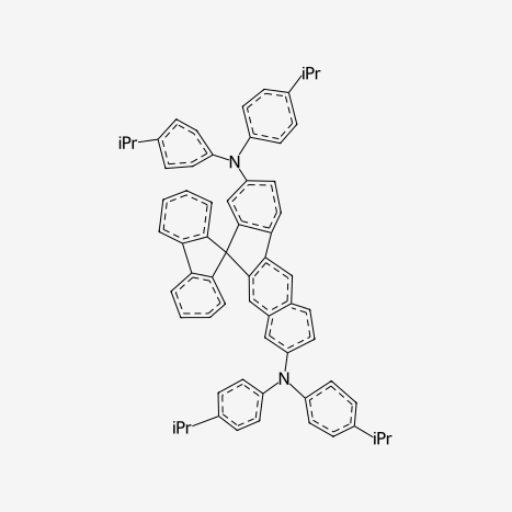 CC(C)c1ccc(N(c2ccc(C(C)C)cc2)c2ccc3c(c2)C2(c4ccccc4-c4ccccc42)c2cc4cc(N(c5ccc(C(C)C)cc5)c5ccc(C(C)C)cc5)ccc4cc2-3)cc1